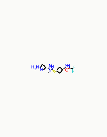 Cn1c(Sc2ccc(-c3nnc(C(F)F)o3)cc2)nnc1-c1ccc(N)nc1